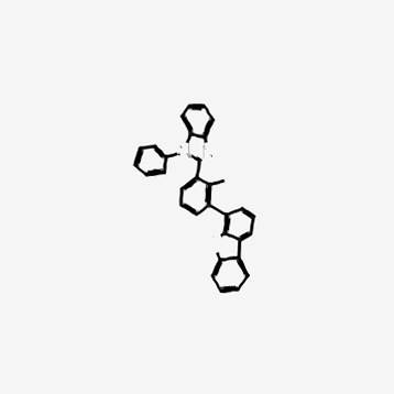 Cc1c(-c2cccc3c2oc2ccccc23)cccc1-c1nc2ccccc2n1-c1ccccc1